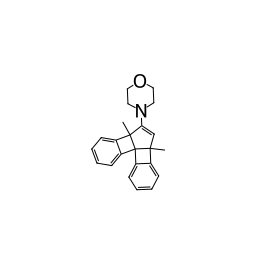 CC12C=C(N3CCOCC3)C3(C)c4ccccc4C13c1ccccc12